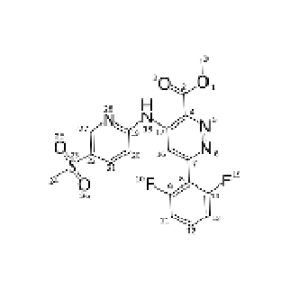 COC(=O)c1nnc(-c2c(F)cccc2F)cc1Nc1ccc(S(C)(=O)=O)cn1